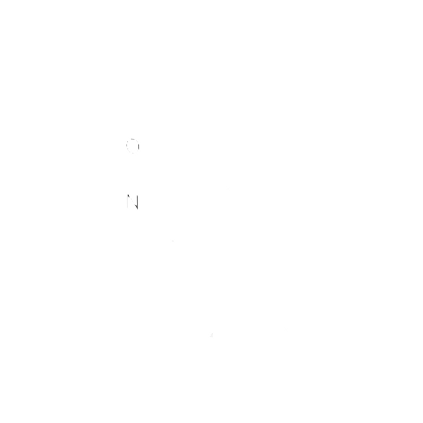 [O]N=C1CCCCCC1